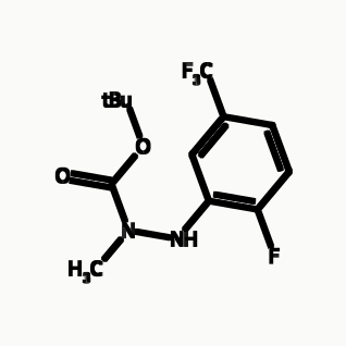 CN(Nc1cc(C(F)(F)F)ccc1F)C(=O)OC(C)(C)C